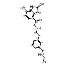 CC(C)CNCc1cccc(CCNC[C@H](O)c2ccc(O)c3[nH]c(=O)sc23)c1